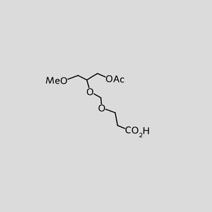 COCC(COC(C)=O)OCOCCC(=O)O